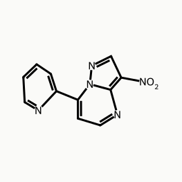 O=[N+]([O-])c1cnn2c(-c3ccccn3)ccnc12